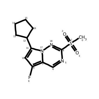 CS(=O)(=O)c1ncc2c(F)cc(C3CCCC3)n2n1